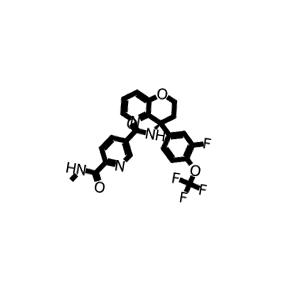 CNC(=O)c1ccc(C(=O)N[C@]2(c3ccc(OC(F)(F)F)c(F)c3)CCOc3cccnc32)cn1